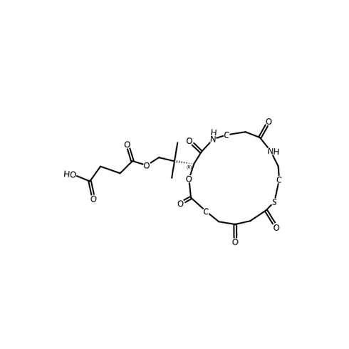 CC(C)(COC(=O)CCC(=O)O)[C@H]1OC(=O)CCC(=O)CC(=O)SCCNC(=O)CCNC1=O